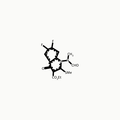 CCOC(=O)c1c(SC)n(N(C)C=O)c2cc(F)c(F)cc2c1=O